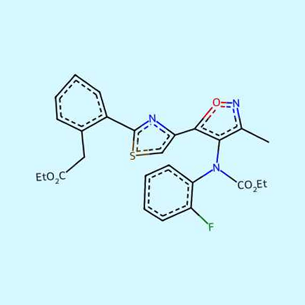 CCOC(=O)Cc1ccccc1-c1nc(-c2onc(C)c2N(C(=O)OCC)c2ccccc2F)cs1